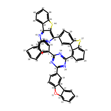 c1ccc(-c2nc(-c3ccc4oc5ccccc5c4c3)nc(-c3cccc4sc5ccc(-c6nc(-c7ccccc7)nc7c6sc6ccccc67)cc5c34)n2)cc1